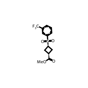 COC(=O)[C@H]1C[C@@H](S(=O)(=O)c2cccc(C(F)(F)F)c2)C1